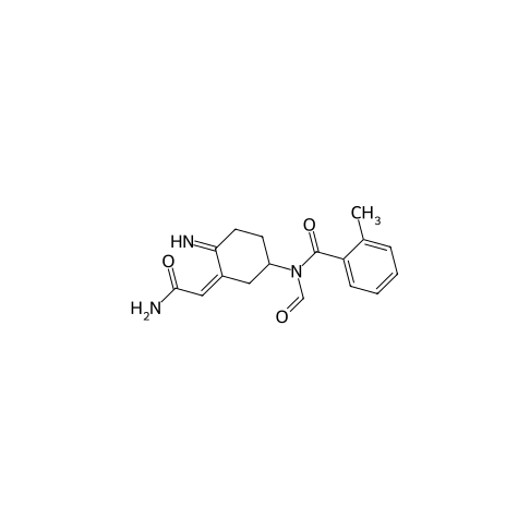 Cc1ccccc1C(=O)N(C=O)C1CCC(=N)/C(=C\C(N)=O)C1